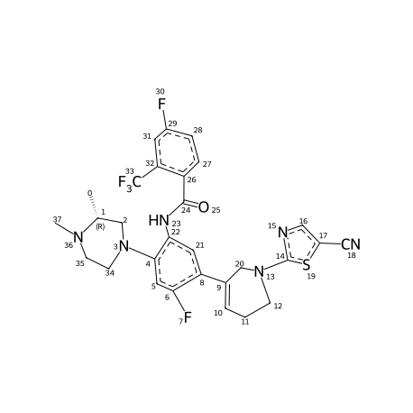 C[C@@H]1CN(c2cc(F)c(C3=CCCN(c4ncc(C#N)s4)C3)cc2NC(=O)c2ccc(F)cc2C(F)(F)F)CCN1C